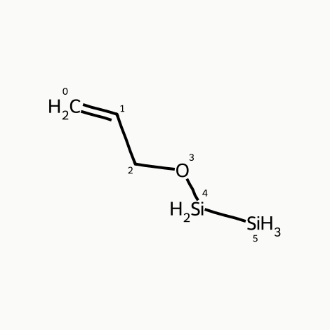 C=CCO[SiH2][SiH3]